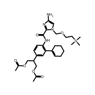 CC(=O)OCC(COC(C)=O)c1ccc(NC(=O)c2nc(N)cn2COCC[Si](C)(C)C)c(C2=CCCCC2)c1